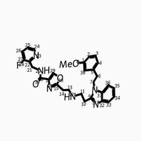 COc1cccc(CCn2c(CCNCCc3nc(C(=O)NCc4ncccc4F)co3)nc3ccccc32)c1